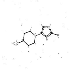 O=C(O)C1CCN(c2nnc(Br)s2)CC1